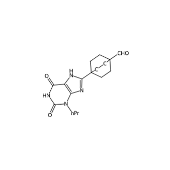 CCCn1c(=O)[nH]c(=O)c2[nH]c(C34CCC(C=O)(CC3)CC4)nc21